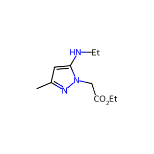 CCNc1cc(C)nn1CC(=O)OCC